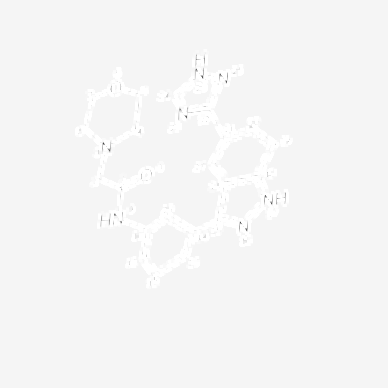 O=C(CN1CCOCC1)Nc1cccc(-c2n[nH]c3ccc(-c4nc[nH]n4)cc23)c1